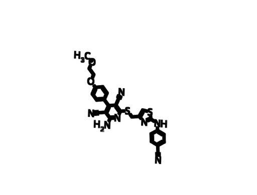 COCCOc1ccc(-c2c(C#N)c(N)nc(SCc3csc(Nc4ccc(C#N)cc4)n3)c2C#N)cc1